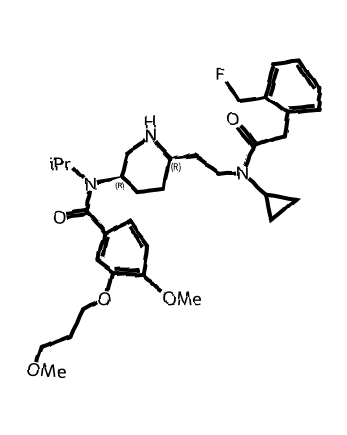 COCCCOc1cc(C(=O)N(C(C)C)[C@@H]2CC[C@H](CCN(C(=O)Cc3ccccc3CF)C3CC3)NC2)ccc1OC